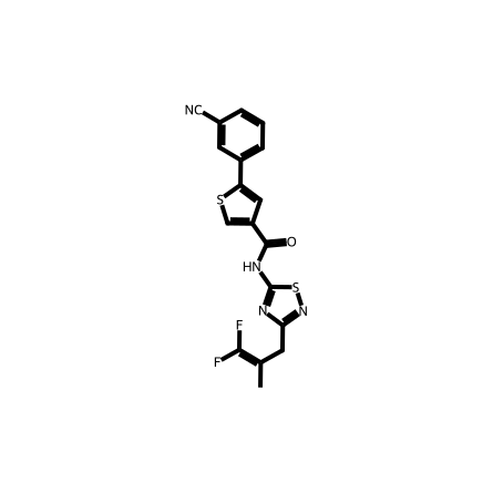 CC(Cc1nsc(NC(=O)c2csc(-c3cccc(C#N)c3)c2)n1)=C(F)F